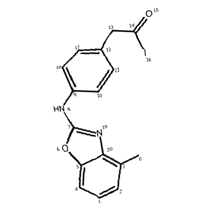 Cc1cccc2oc(Nc3ccc(CC(=O)I)cc3)nc12